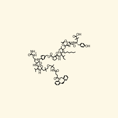 CCCCCCN(C(=O)[C@@H](NC(=O)[C@@]1(C)CCCN1C(=O)OCc1ccc(NC(=O)[C@H](CCCNC(N)=O)NC(=O)[C@@H](NC(=O)CC(C)(C)COCC(C)(C)CNC(=O)CCC(=O)N2Cc3ccccc3C#Cc3ccccc32)C(C)C)cc1)[C@@H](C)CC)[C@H](C[C@@H](OC(C)=O)c1nc(C(=O)N[C@@H](Cc2ccc(O)cc2)CC(C)(C)C(=O)O)cs1)C(C)C